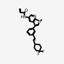 C=CC(=O)Nc1cnc2c(c1)c(-c1cccc(/C=C/C3CCC(F)(F)CC3)c1)cn2C